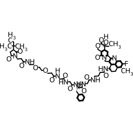 CCC(C)(C)C1CC(=O)N(CCC(=O)NCCOCCOCCC(=O)NCC(=O)NCC(=O)N[C@@H](Cc2ccccc2)C(=O)NCC(=O)NCCCC(=O)N[C@H]2CCc3c(C)c(F)cc4nc5c(c2c34)Cn2c-5cc3c(c2=O)COC(=O)[C@]3(O)CC)C1=O